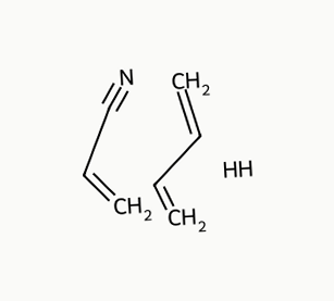 C=CC#N.C=CC=C.[HH]